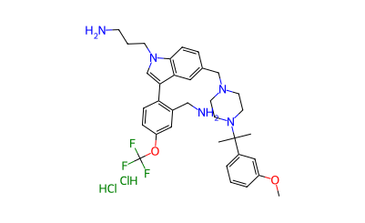 COc1cccc(C(C)(C)N2CCN(Cc3ccc4c(c3)c(-c3ccc(OC(F)(F)F)cc3CN)cn4CCCN)CC2)c1.Cl.Cl